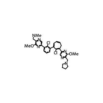 CNCc1ncc(-c2cccc(C3=CC=CCC(c4cnc(CN5CCCC5)c(OC)n4)=C3Cl)c2Cl)nc1OC